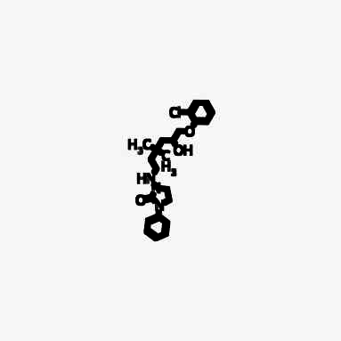 CC(C)(CCNN1CCN(c2ccccc2)C1=O)CC(O)COc1ccccc1Cl